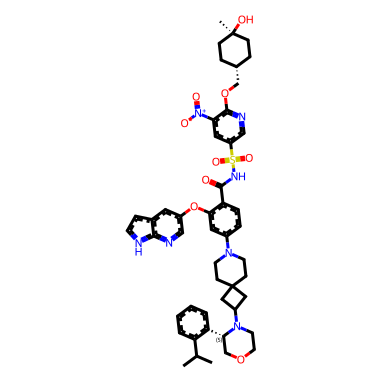 CC(C)c1ccccc1[C@H]1COCCN1C1CC2(CCN(c3ccc(C(=O)NS(=O)(=O)c4cnc(OC[C@H]5CC[C@](C)(O)CC5)c([N+](=O)[O-])c4)c(Oc4cnc5[nH]ccc5c4)c3)CC2)C1